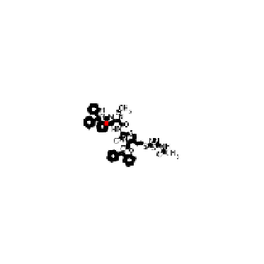 CO/N=C(/C(=O)NC1C(=O)N2C(C(=O)OC(c3ccccc3)c3ccccc3)=C(/C=C/Sc3nnc(NC(C)=O)s3)CSC12)c1csc(NC(c2ccccc2)(c2ccccc2)c2ccccc2)n1